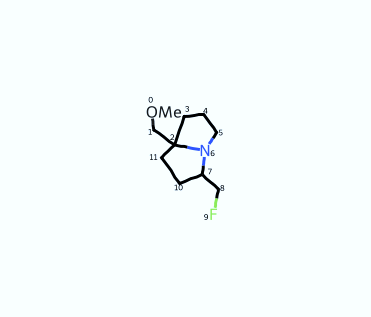 COCC12CCCN1C(CF)CC2